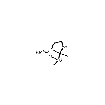 CC1([PH](C)([O-])[O-])NCCS1.[Na+].[Na+]